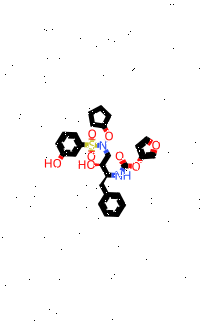 O=C(N[C@@H](Cc1ccccc1)[C@@H](O)CN(OC1CCCC1)S(=O)(=O)c1cccc(O)c1)Oc1ccoc1